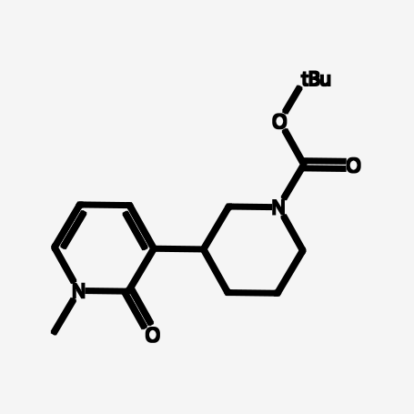 Cn1cccc(C2CCCN(C(=O)OC(C)(C)C)C2)c1=O